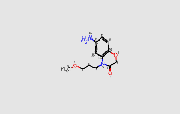 COCCCN1C(=O)COc2ccc(N)cc21